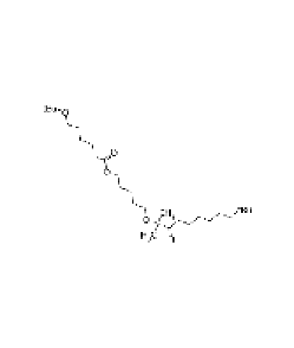 CC(C)(C)CCCCCCC(=O)C(C)(C)OCCCCCOC(=O)CCCCCOC(C)(C)C